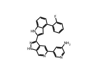 Nc1cncc(-c2cc3c(-c4cc5c(-c6ccccc6F)cccc5[nH]4)n[nH]c3cn2)c1